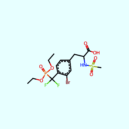 CCOP(=O)(OCC)C(F)(F)c1ccc(CC(NS(C)(=O)=O)C(=O)O)cc1Br